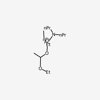 CCCC.CCCN(CCC)C(C)=O.CCOC(C)OCC